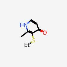 CCSc1c(C)[nH]ccc1=O